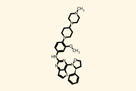 COc1cc(Nc2nc(N3OCC[C@H]3c3ccccc3)c3sccc3n2)ccc1N1CCC(N2CCN(C)CC2)CC1